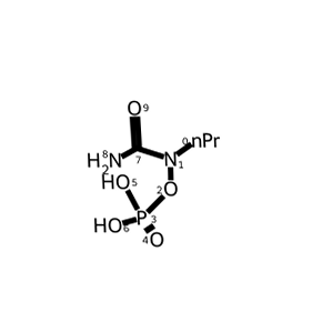 CCCN(OP(=O)(O)O)C(N)=O